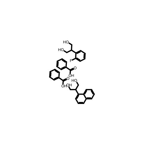 O=C(O)c1ccccc1.O=C(O)c1ccccc1.OCC(CO)c1cccc2ccccc12.OCC(CO)c1ccccc1F